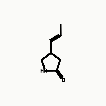 CC=CC1CNC(=O)C1